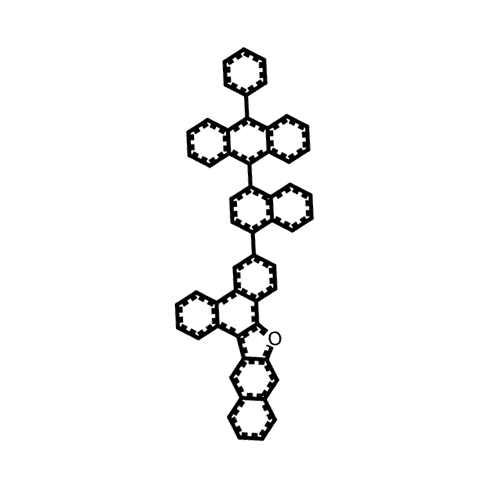 c1ccc(-c2c3ccccc3c(-c3ccc(-c4ccc5c(c4)c4ccccc4c4c6cc7ccccc7cc6oc54)c4ccccc34)c3ccccc23)cc1